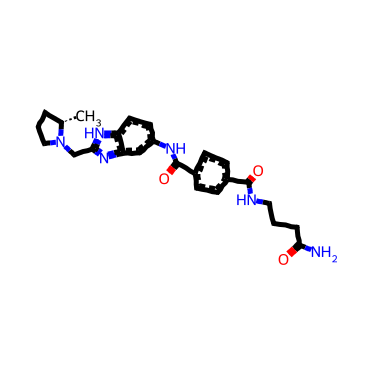 C[C@H]1CCCN1Cc1nc2cc(NC(=O)c3ccc(C(=O)NCCCC(N)=O)cc3)ccc2[nH]1